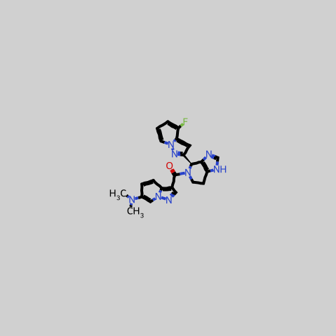 CN(C)c1ccc2c(C(=O)N3CCc4[nH]cnc4[C@@H]3c3cc4c(F)cccn4n3)cnn2c1